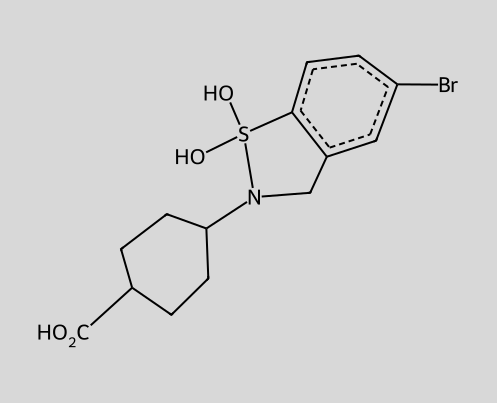 O=C(O)C1CCC(N2Cc3cc(Br)ccc3S2(O)O)CC1